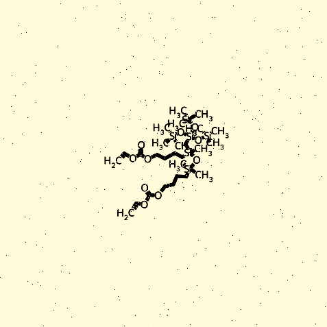 C=COC(=O)OCCCC[Si](C)(C)O[Si](C)(CCCCOC(=O)OC=C)C[Si](O[Si](C)(C)C)(O[Si](C)(C)C)O[Si](C)(C)C